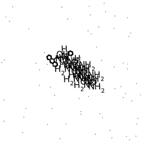 N=C(N)NC(NC(=O)C(NC(=N)N)NC(=O)C(NC(=N)N)NC(=O)C(NC(=N)N)NC(=O)C(NC(=O)C(O)/N=C/c1c2ccccc2cc2ccccc12)c1ccccc1)C(=O)NC(N)C(N)=O